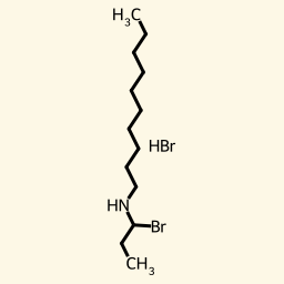 Br.CCCCCCCCCCNC(Br)CC